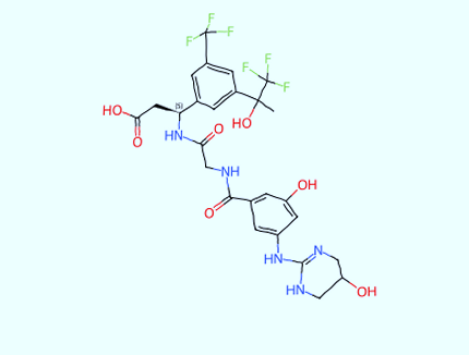 CC(O)(c1cc([C@H](CC(=O)O)NC(=O)CNC(=O)c2cc(O)cc(NC3=NCC(O)CN3)c2)cc(C(F)(F)F)c1)C(F)(F)F